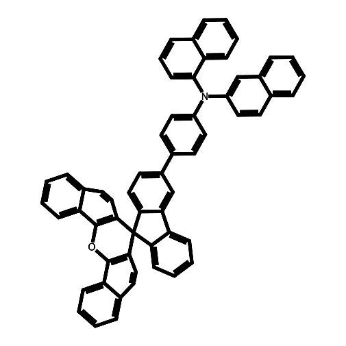 c1ccc2c(c1)-c1cc(-c3ccc(N(c4ccc5ccccc5c4)c4cccc5ccccc45)cc3)ccc1C21c2ccc3ccccc3c2Oc2c1ccc1ccccc21